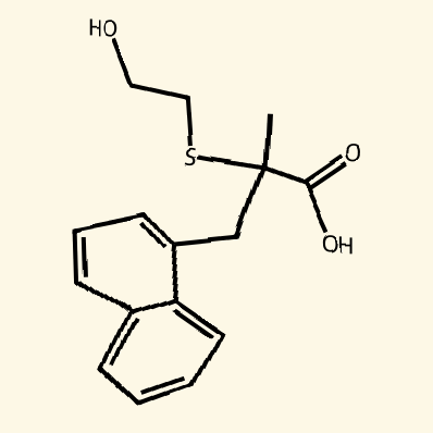 CC(Cc1cccc2ccccc12)(SCCO)C(=O)O